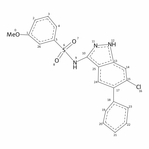 COc1cccc(S(=O)(=O)Nc2n[nH]c3cc(Cl)c(-c4ccccc4)cc23)c1